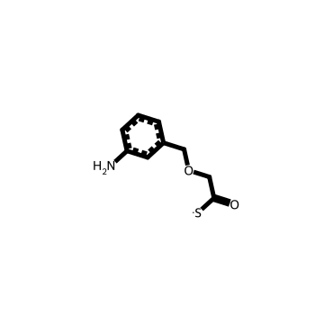 Nc1cccc(COCC(=O)[S])c1